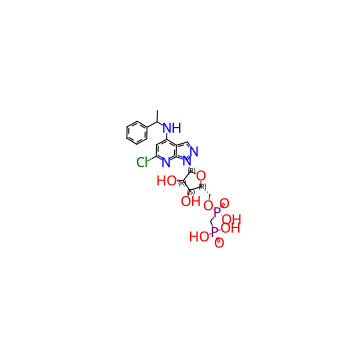 CC(Nc1cc(Cl)nc2c1cnn2[C@@H]1O[C@H](COP(=O)(O)CP(=O)(O)O)[C@@H](O)[C@H]1O)c1ccccc1